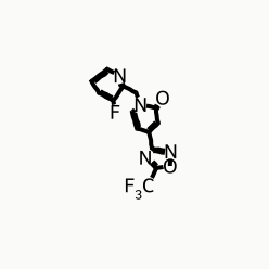 O=c1cc(-c2noc(C(F)(F)F)n2)ccn1Cc1ncccc1F